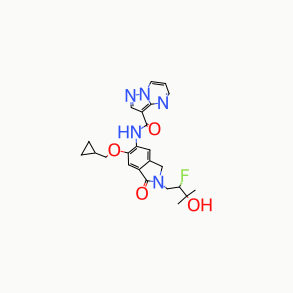 CC(C)(O)[C@H](F)CN1Cc2cc(NC(=O)c3cnn4cccnc34)c(OCC3CC3)cc2C1=O